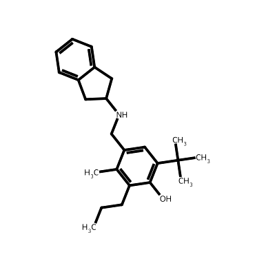 CCCc1c(C)c(CNC2Cc3ccccc3C2)cc(C(C)(C)C)c1O